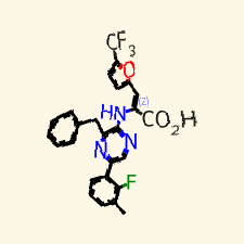 Cc1cccc(-c2cnc(N/C(=C\c3ccc(C(F)(F)F)o3)C(=O)O)c(Cc3ccccc3)n2)c1F